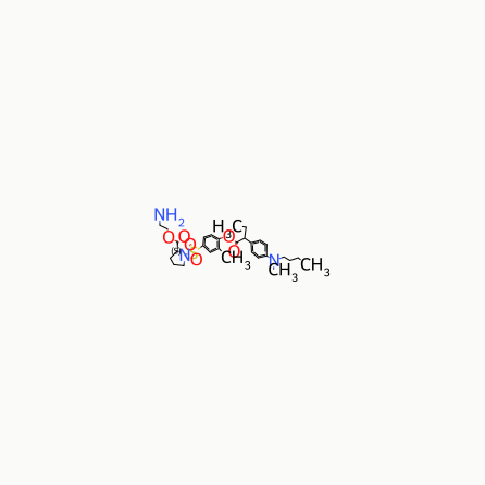 CCCCN(C)c1ccc(C(CC)C(=O)Oc2ccc(S(=O)(=O)N3CCC[C@H]3C(=O)OCCN)cc2C)cc1